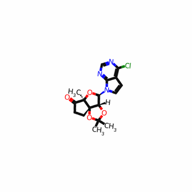 CC1(C)O[C@H]2[C@H](n3ccc4c(Cl)ncnc43)O[C@]3(C)C(=O)CC[C@]23O1